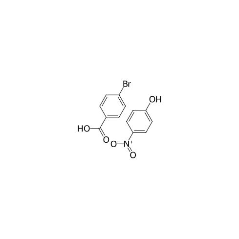 O=C(O)c1ccc(Br)cc1.O=[N+]([O-])c1ccc(O)cc1